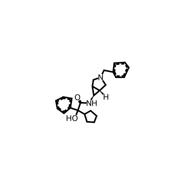 O=C(N[C@H]1C2CN(Cc3ccccc3)C[C@@H]21)C(O)(c1ccccc1)C1CCCC1